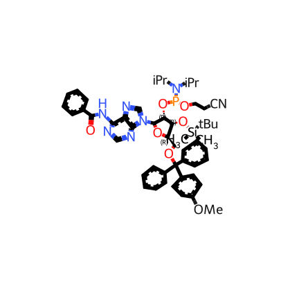 COc1ccc(C(OC[C@H]2OC(n3cnc4c(NC(=O)c5ccccc5)ncnc43)[C@H](OP(OCCC#N)N(C(C)C)C(C)C)[C@@H]2O[Si](C)(C)C(C)(C)C)(c2ccccc2)c2ccccc2)cc1